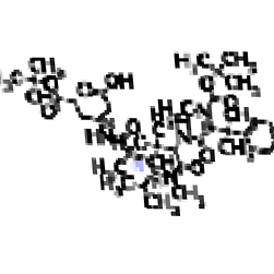 C/C(=C\[C@H](C(C)C)N(C)C(=O)C(NC(=O)[C@@H](N(C)C(=O)OC(C)(C)C)C(C)(C)c1ccccc1)C(C)(C)C)C(=O)N[C@@H](CCC(=O)OC(C)(C)C)CC(=O)O